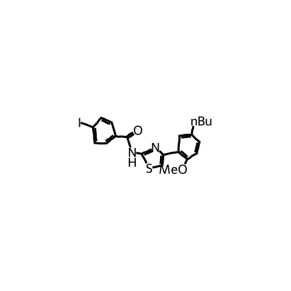 CCCCc1ccc(OC)c(-c2csc(NC(=O)c3ccc(I)cc3)n2)c1